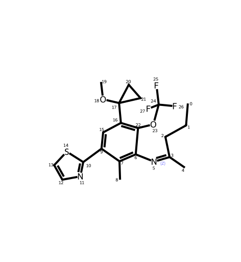 CCC/C(C)=N\c1c(C)c(-c2nccs2)cc(C2(OC)CC2)c1OC(F)(F)F